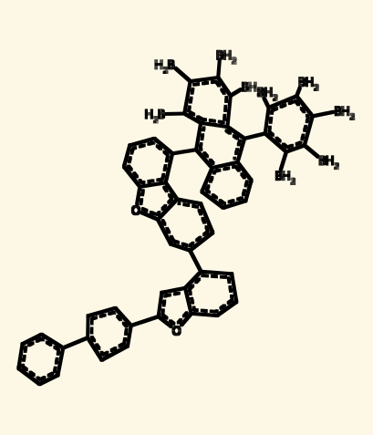 Bc1c(B)c(B)c(-c2c3ccccc3c(-c3cccc4oc5cc(-c6cccc7oc(-c8ccc(-c9ccccc9)cc8)cc67)ccc5c34)c3c(B)c(B)c(B)c(B)c23)c(B)c1B